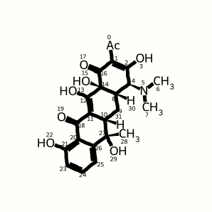 CC(=O)C1=C(O)[C@@H](N(C)C)[C@@H]2C[C@H]3C(=C(O)[C@]2(O)C1=O)C(=O)c1c(O)cccc1[C@@]3(C)O